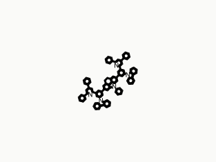 c1ccc(-c2cc(-c3ccccc3)nc(-c3cc(-c4cc5c6c7c(cc(-c8cc(-c9cc(-c%10ccccc%10)cc(-c%10ccccc%10)n9)cc(-n9c%10ccccc%10c%10ccccc%109)c8)cc7n(-c7ccccc7)c6c4)CC5)cc(-n4c5ccccc5c5ccccc54)c3)c2)cc1